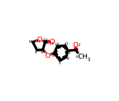 CC(=O)c1ccc(OC2CCOC2=O)cc1